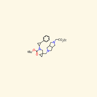 CCOC(=O)CN1CC2CN(CC3(CN(C(=O)OC(C)(C)C)[C@H]4CC4c4ccccc4)CC3)CC2C1